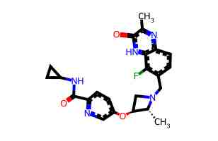 Cc1nc2ccc(CN3C[C@H](Oc4ccc(C(=O)NC5CC5)nc4)[C@H]3C)c(F)c2[nH]c1=O